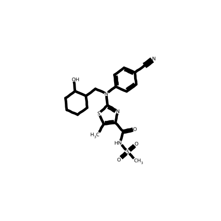 Cc1sc(N(CC2CCCCC2O)c2ccc(C#N)cc2)nc1C(=O)NS(C)(=O)=O